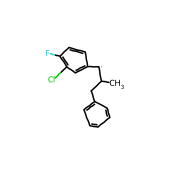 CC([CH]c1ccc(F)c(Cl)c1)Cc1ccccc1